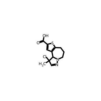 CC1(Cl)C=NN2CCCc3sc(C(=O)O)cc3C21